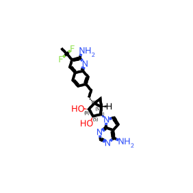 CC(F)(F)c1cc2ccc(CC[C@]34C[C@@H]3[C@@H](n3ccc5c(N)ncnc53)[C@H](O)[C@@H]4O)cc2nc1N